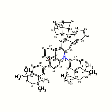 CC1(C)CCC(C)(C)c2cc(-c3ccc(N(c4ccc5c(c4)C(C)(C)CCC5(C)C)c4cc5c(cc4-c4ccccc4)C4(c6ccccc6-5)C5CC6CC7CC4C75C6)cc3)ccc21